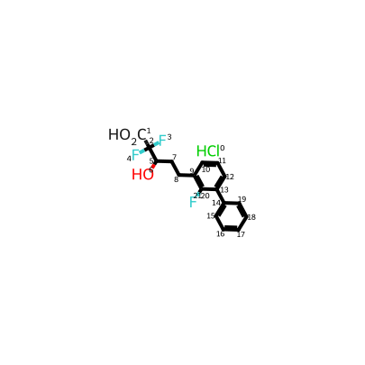 Cl.O=C(O)C(F)(F)C(O)CCc1cccc(-c2ccccc2)c1F